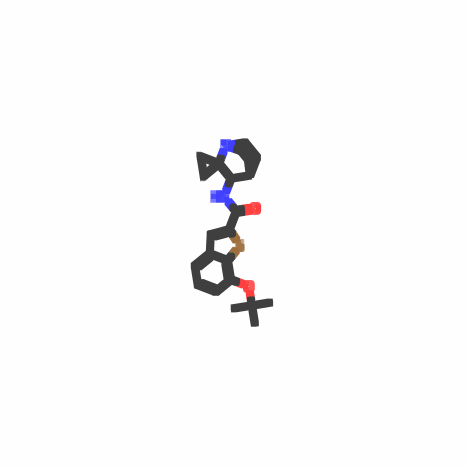 CC(C)(C)Oc1cccc2cc(C(=O)NC3C4CCN(CC4)C34CC4)sc12